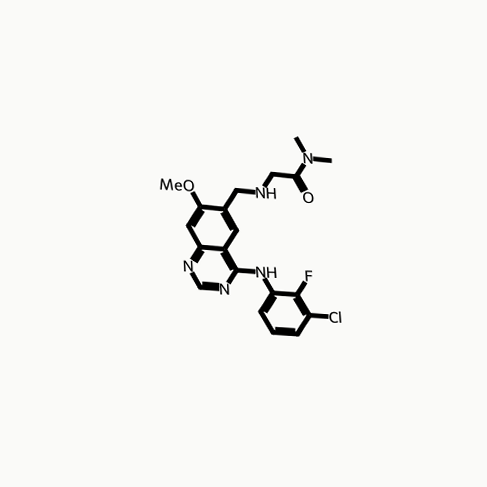 COc1cc2ncnc(Nc3cccc(Cl)c3F)c2cc1CNCC(=O)N(C)C